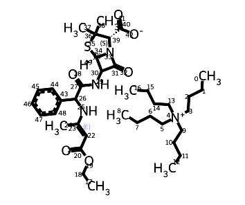 CCCC[N+](CCCC)(CCCC)CCCC.CCOC(=O)/C=C(\C)NC(C(=O)NC1C(=O)N2[C@@H]1SC(C)(C)[C@@H]2C(=O)[O-])c1ccccc1